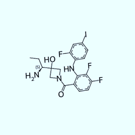 CC[C@H](N)C1(O)CN(C(=O)c2ccc(F)c(F)c2Nc2ccc(I)cc2F)C1